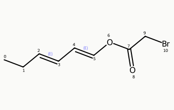 CC/C=C/C=C/OC(=O)CBr